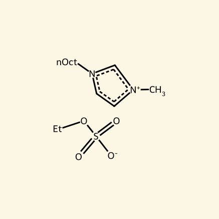 CCCCCCCCn1cc[n+](C)c1.CCOS(=O)(=O)[O-]